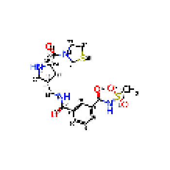 CS(=O)(=O)NC(=O)c1cccc(C(=O)NC[C@@H]2CN[C@H](C(=O)N3CCSC3)C2)c1